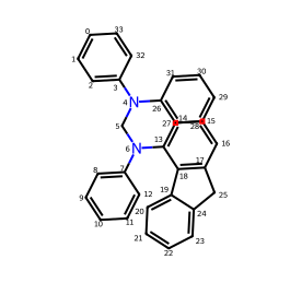 c1ccc(N(CN(c2ccccc2)c2cccc3c2-c2ccccc2C3)c2ccccc2)cc1